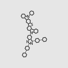 c1ccc(-c2ccc(-c3nc(-c4ccc(-c5ccccc5)cc4)c4cc(-n5c6ccccc6c6c7sc8cc9c(cc8c7ccc65)c5ccccc5n9-c5ccccc5)ccc4n3)cc2)cc1